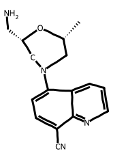 C[C@@H]1CN(c2ccc(C#N)c3ncccc23)C[C@H](CN)O1